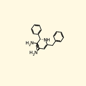 NC(=O)/C=C(/Cc1ccccc1)N[C@H](C(N)=O)c1ccccc1